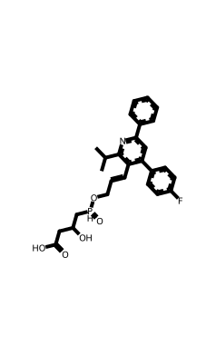 CC(C)c1nc(-c2ccccc2)cc(-c2ccc(F)cc2)c1C=CCO[PH](=O)CC(O)CC(=O)O